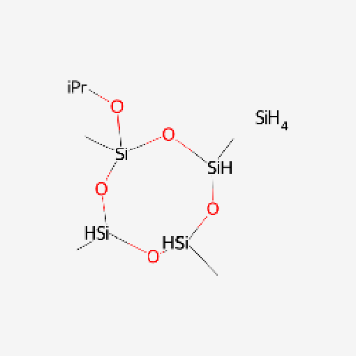 CC(C)O[Si]1(C)O[SiH](C)O[SiH](C)O[SiH](C)O1.[SiH4]